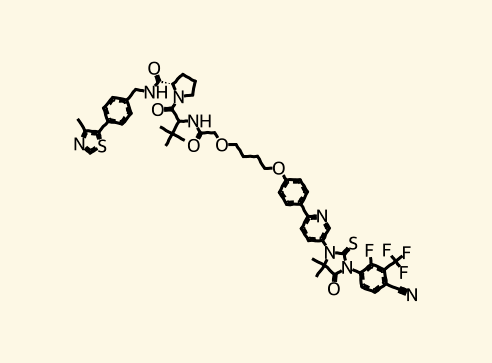 Cc1ncsc1-c1ccc(CNC(=O)[C@@H]2CCCN2C(=O)C(NC(=O)COCCCCOc2ccc(-c3ccc(N4C(=S)N(c5ccc(C#N)c(C(F)(F)F)c5F)C(=O)C4(C)C)cn3)cc2)C(C)(C)C)cc1